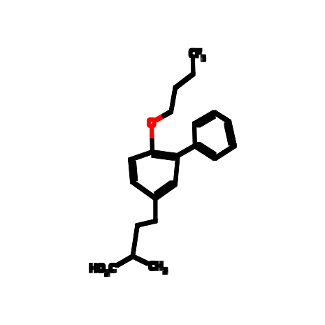 CC(CCc1ccc(OCCCC(F)(F)F)c(-c2ccccc2)c1)C(=O)O